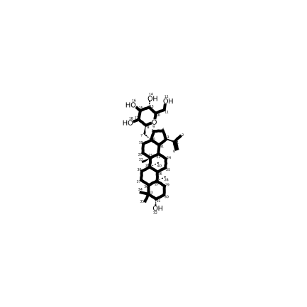 C=C(C)[C@@H]1CC[C@]2(C[C@@H]3OC(CO)[C@@H](O)C(O)C3O)CC[C@]3(C)C(CCC4[C@@]5(C)CC[C@H](O)C(C)(C)C5CC[C@]43C)C12